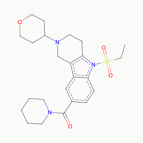 CCS(=O)(=O)n1c2c(c3cc(C(=O)N4CCCCC4)ccc31)CN(C1CCOCC1)CC2